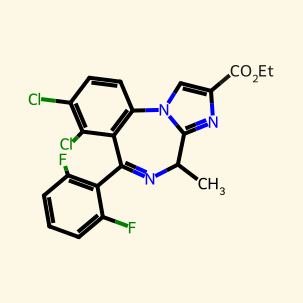 CCOC(=O)c1cn2c(n1)C(C)N=C(c1c(F)cccc1F)c1c-2ccc(Cl)c1Cl